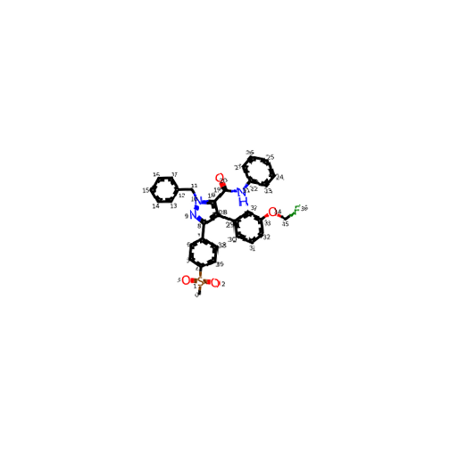 CS(=O)(=O)c1ccc(-c2nn(Cc3ccccc3)c(C(=O)Nc3ccccc3)c2-c2cccc(OCF)c2)cc1